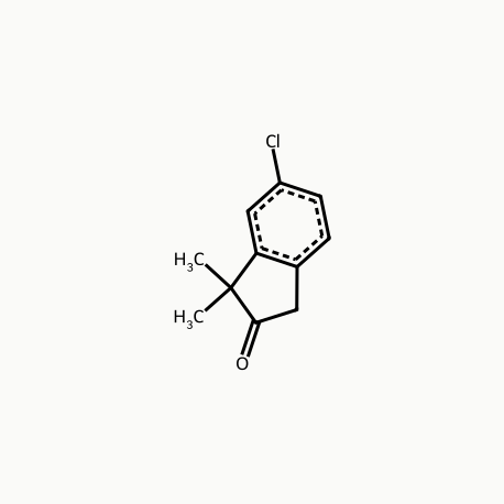 CC1(C)C(=O)Cc2ccc(Cl)cc21